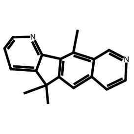 Cc1c2c(cc3ccncc13)C(C)(C)c1cccnc1-2